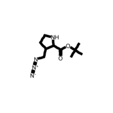 CC(C)(C)OC(=O)C1NCCC1CN=[N+]=[N-]